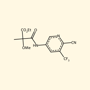 CCOC(=O)C(C)(OC)C(=O)Nc1cnc(C#N)c(C(F)(F)F)c1